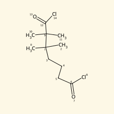 CC(C)(CCCC(=O)Cl)C(C)(C)C(=O)Cl